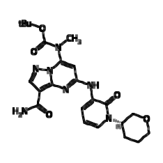 CN(C(=O)OC(C)(C)C)c1cc(Nc2cccn([C@H]3CCCOC3)c2=O)nc2c(C(N)=O)cnn12